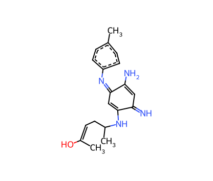 C/C(O)=C\CC(C)NC1=C/C(=N/c2ccc(C)cc2)C(N)=CC1=N